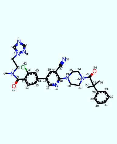 CN(CCn1cncn1)C(=O)c1ccc(-c2cnc(N3CCN(C(=O)C(C)(C)c4ccccc4)CC3)c(C#N)c2)cc1Cl